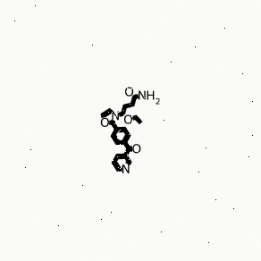 CCOC(CCC(N)=O)N1C=COC1c1ccc(C(=O)c2cccnc2)cc1